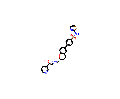 O=S(=O)(Nc1nccs1)c1ccc(-c2ccc3c(c2)CC[C@H](CNC[C@H](O)c2cccnc2)O3)cc1